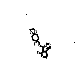 Fc1cccc2c1C(CCC1(F)CCC3(CC1)OCCO3)n1cncc1-2